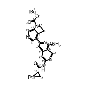 CC(C)(C)OC(=O)N1CCc2c(-c3cc4cc(NC(=O)[C@@H]5C[C@@H]5F)ncc4c(N)n3)cncc21